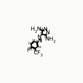 NC1=NN=C(N)C1/N=N/c1ccc(F)c(C(F)(F)F)c1